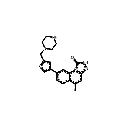 Cc1cc2n[nH]c(=O)n2c2cc(-c3csc(CN4CCNCC4)c3)ccc12